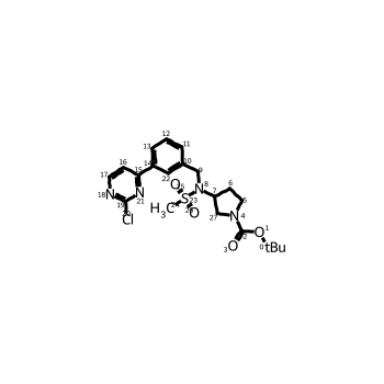 CC(C)(C)OC(=O)N1CCC(N(Cc2cccc(-c3ccnc(Cl)n3)c2)S(C)(=O)=O)C1